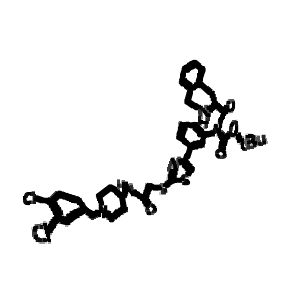 CC(C)(C)OC(=O)N(C(=O)C1Cc2ccccc2CN1)c1cccc(-c2csc(SCC(=O)NC3CCN(Cc4ccc(Cl)c(Cl)c4)CC3)n2)c1